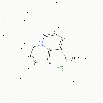 Cl.O=C(O)C1=CC=CN2CC=CC=C12